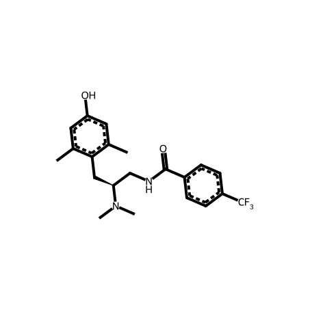 Cc1cc(O)cc(C)c1C[C@@H](CNC(=O)c1ccc(C(F)(F)F)cc1)N(C)C